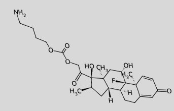 C[C@@H]1C[C@H]2[C@@H]3CCC4=CC(=O)C=C[C@]4(C)[C@@]3(F)[C@@H](O)C[C@]2(C)[C@@]1(O)C(=O)COC(=O)OCCCCN